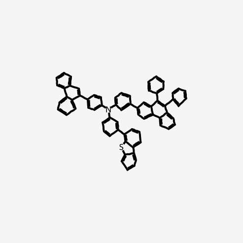 c1ccc(-c2c(-c3ccccc3)c3cc(-c4cccc(N(c5ccc(-c6cc7ccccc7c7ccccc67)cc5)c5cccc(-c6cccc7c6sc6ccccc67)c5)c4)ccc3c3ccccc23)cc1